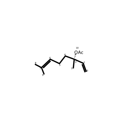 C=C[C@@](C)(CCC=C(C)C)OC(C)=O